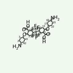 Nc1ccc(Oc2ccc(C(c3ccc(Oc4ccc(N)cc4)c(C(=O)O)c3)(C(F)(F)F)C(F)(F)F)cc2C(=O)O)cc1